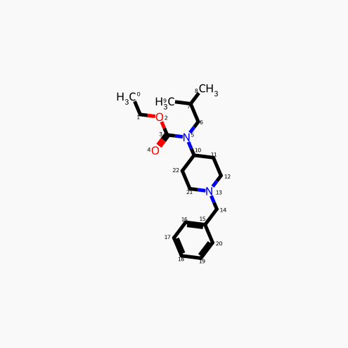 CCOC(=O)N(CC(C)C)C1CCN(Cc2ccccc2)CC1